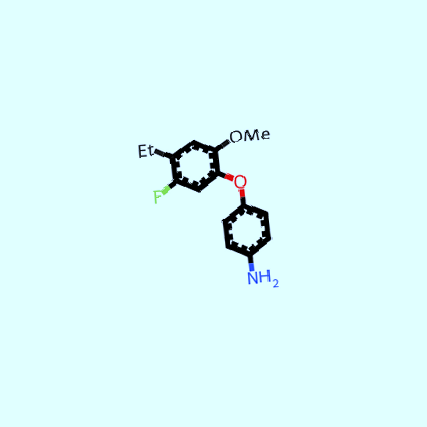 CCc1cc(OC)c(Oc2ccc(N)cc2)cc1F